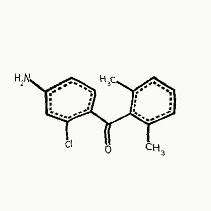 Cc1cccc(C)c1C(=O)c1ccc(N)cc1Cl